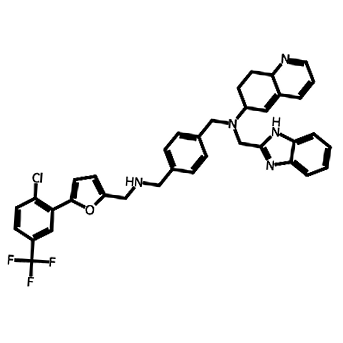 FC(F)(F)c1ccc(Cl)c(-c2ccc(CNCc3ccc(CN(Cc4nc5ccccc5[nH]4)C4C=C5C=CC=NC5CC4)cc3)o2)c1